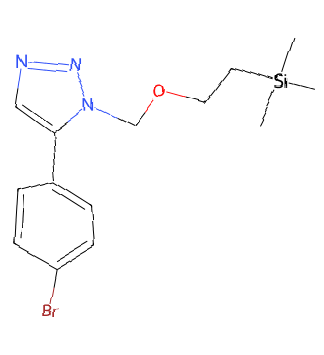 C[Si](C)(C)CCOCn1nncc1-c1ccc(Br)cc1